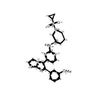 COc1cccc(-c2nc3sccn3c2-c2ccnc(N[C@@H]3CCCN(S(=O)(=O)C4CC4)C3)n2)c1